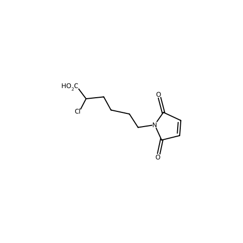 O=C(O)C(Cl)CCCCN1C(=O)C=CC1=O